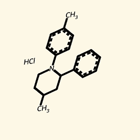 Cc1ccc(N2CCC(C)CC2c2ccccc2)cc1.Cl